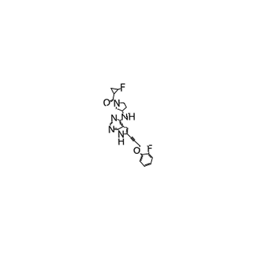 O=C(C1CC1F)N1CC[C@@H](Nc2ncnc3[nH]c(C#CCOc4ccccc4F)cc23)C1